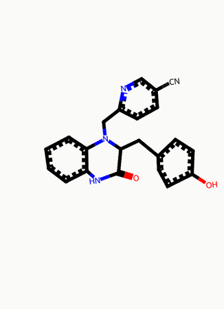 N#Cc1ccc(CN2c3ccccc3NC(=O)C2Cc2ccc(O)cc2)nc1